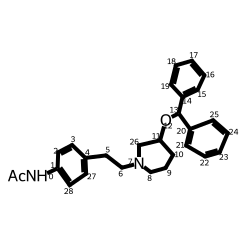 CC(=O)Nc1ccc(CCN2CCCC(OC(c3ccccc3)c3ccccc3)C2)cc1